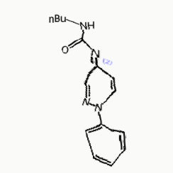 CCCCNC(=O)/N=c1/ccn(-c2ccccc2)nc1